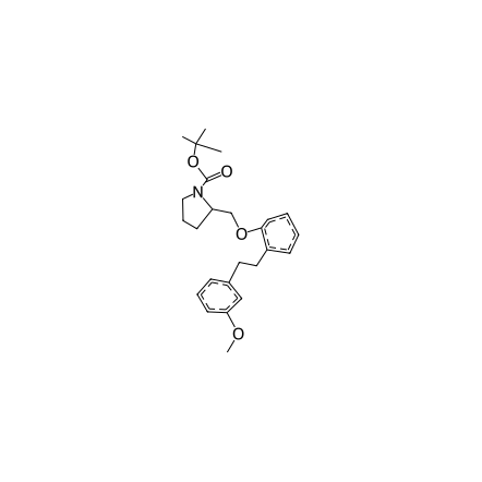 COc1cccc(CCc2ccccc2OCC2CCCN2C(=O)OC(C)(C)C)c1